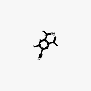 C=C(C)c1cc(C#N)c(C)cc1C(C)=N